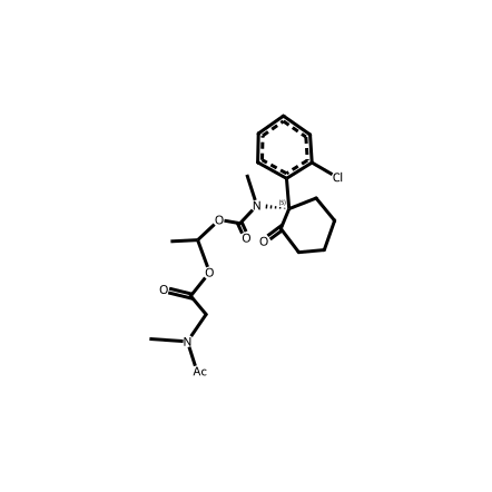 CC(=O)N(C)CC(=O)OC(C)OC(=O)N(C)[C@]1(c2ccccc2Cl)CCCCC1=O